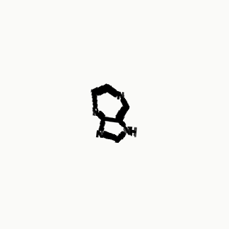 C1=CN=c2nc[nH]c2=CN=1